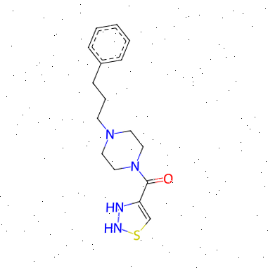 O=C(C1=CSNN1)N1CCN(CCCc2ccccc2)CC1